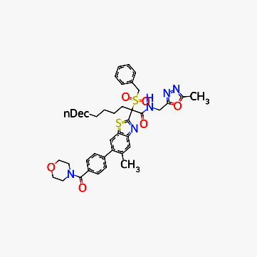 CCCCCCCCCCCCCCC(C(=O)NCc1nnc(C)o1)(c1nc2cc(C)c(-c3ccc(C(=O)N4CCOCC4)cc3)cc2s1)S(=O)(=O)Cc1ccccc1